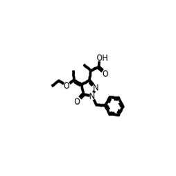 CCOC(C)=C1C(=O)N(Cc2ccccc2)N=C1C(C)C(=O)O